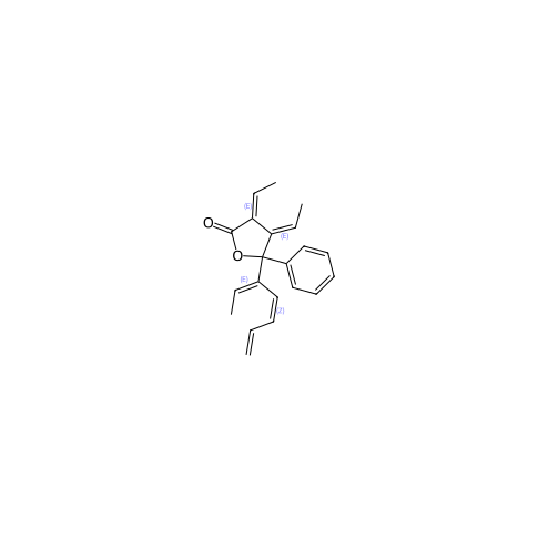 C=C/C=C\C(=C/C)C1(c2ccccc2)OC(=O)C(=C/C)/C1=C\C